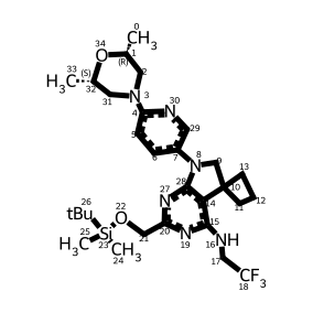 C[C@@H]1CN(c2ccc(N3CC4(CCC4)c4c(NCC(F)(F)F)nc(CO[Si](C)(C)C(C)(C)C)nc43)cn2)C[C@H](C)O1